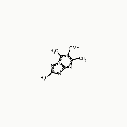 COc1c(C)nc2nc(C)nn2c1C